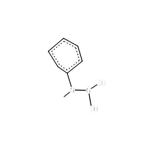 CN(c1ccccc1)N(S)S